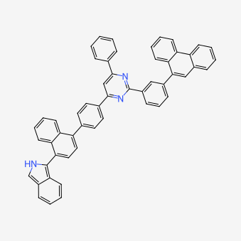 c1ccc(-c2cc(-c3ccc(-c4ccc(-c5[nH]cc6ccccc56)c5ccccc45)cc3)nc(-c3cccc(-c4cc5ccccc5c5ccccc45)c3)n2)cc1